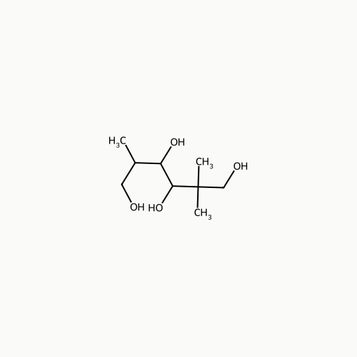 CC(CO)C(O)C(O)C(C)(C)CO